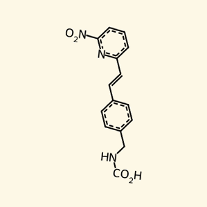 O=C(O)NCc1ccc(C=Cc2cccc([N+](=O)[O-])n2)cc1